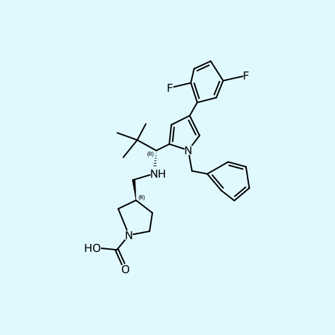 CC(C)(C)[C@@H](NC[C@H]1CCN(C(=O)O)C1)c1cc(-c2cc(F)ccc2F)cn1Cc1ccccc1